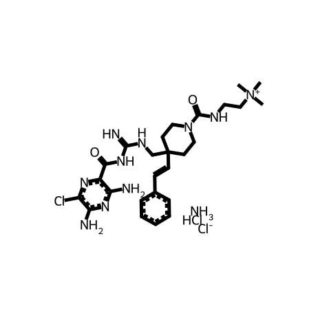 C[N+](C)(C)CCNC(=O)N1CCC(C=Cc2ccccc2)(CNC(=N)NC(=O)c2nc(Cl)c(N)nc2N)CC1.Cl.N.[Cl-]